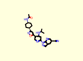 CC(=O)N[C@H]1CC[C@@H](c2cc(-c3cnc(-n4ncc5cc(C#N)cnc54)cc3NC(C)C)on2)CC1